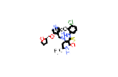 COc1c(Cl)cccc1NC(=S)C1=C(NCc2ccncc2OC[C@@H]2CCCO2)CC(C(F)(F)F)NC1=O